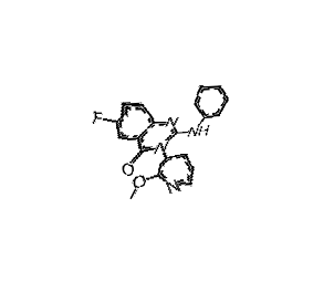 COc1ncccc1-n1c(Nc2ccccc2)nc2ccc(F)cc2c1=O